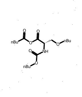 CCCCOC[C@H](NC(=O)OCCCC)C(=O)OC(=O)CCCC